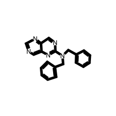 c1ccc(CN(Cc2ccccc2)c2ncc3ncncc3n2)cc1